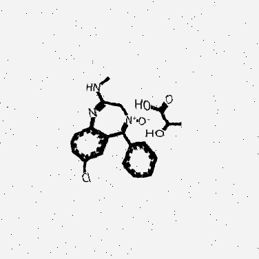 CC(O)C(=O)O.CNC1=Nc2ccc(Cl)cc2C(c2ccccc2)=[N+]([O-])C1